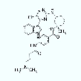 CN(C)CC=CC(=O)Nc1ccc(C(=O)N[C@@]2(C)CCC[C@@H](Nc3ncc(Cl)c(-c4c[nH]c5ccccc45)n3)C2)cc1